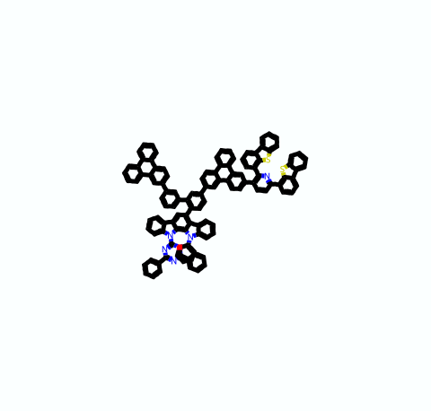 c1ccc(-c2nc(-c3ccccc3)nc(-n3c4ccccc4c4cc(-c5ccc(-c6ccc7c8ccccc8c8cc(-c9ccc(-c%10cccc%11c%10sc%10ccccc%10%11)nc9-c9cccc%10c9sc9ccccc9%10)ccc8c7c6)cc5-c5cccc(-c6ccc7c8ccccc8c8ccccc8c7c6)c5)c5c6ccccc6n(-c6ccccc6)c5c43)n2)cc1